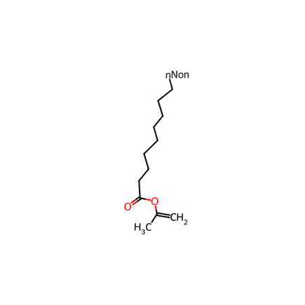 C=C(C)OC(=O)CCCCCCCCCCCCCCCCC